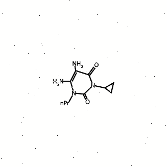 CCCn1c(N)c(N)c(=O)n(C2CC2)c1=O